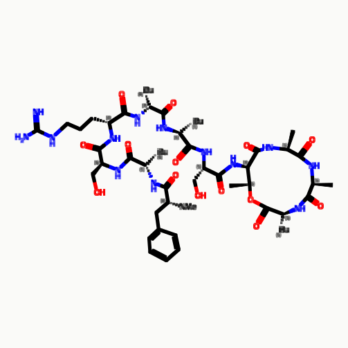 CC[C@@H](C)[C@@H](NC(=O)[C@@H](CCCNC(=N)N)NC(=O)[C@H](CO)NC(=O)[C@@H](NC(=O)[C@@H](Cc1ccccc1)NC)[C@@H](C)CC)C(=O)N[C@H](C(=O)N[C@@H](CO)C(=O)N[C@H]1C(=O)N[C@@H](C)C(=O)N[C@@H](C)C(=O)N[C@@H]([C@@H](C)CC)C(=O)O[C@H]1C)[C@@H](C)CC